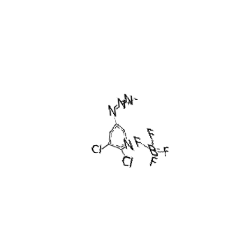 F[B-](F)(F)F.[N-]=[N+]=Nc1cnc(Cl)c(Cl)c1